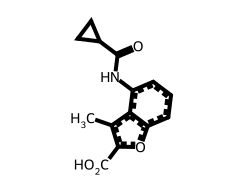 Cc1c(C(=O)O)oc2cccc(NC(=O)C3CC3)c12